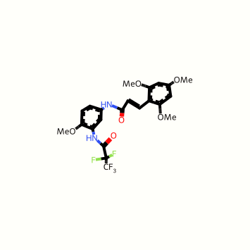 COc1cc(OC)c(C=CC(=O)Nc2ccc(OC)c(NC(=O)C(F)(F)C(F)(F)F)c2)c(OC)c1